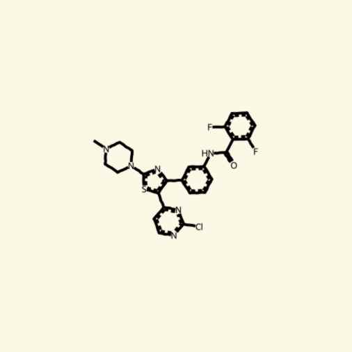 CN1CCN(c2nc(-c3cccc(NC(=O)c4c(F)cccc4F)c3)c(-c3ccnc(Cl)n3)s2)CC1